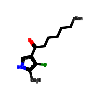 CCCCCCCCCCCCCCC(=O)c1c[nH]c(C(=O)O)c1F